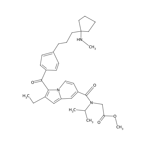 CCc1cc2cc(C(=O)N(CC(=O)OC)C(C)C)ccn2c1C(=O)c1ccc(CCCC2(NC)CCCC2)cc1